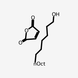 CCCCCCCCCCCCCCO.O=C1C=CC(=O)O1